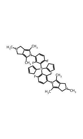 Cc1c2c(c(C)n1-c1ccc(F)[c]([Ti]([C]3=CC=CC3)([C]3=CC=CC3)[c]3c(F)ccc(-n4c(C)c5c(c4C)CN(C)C5)c3F)c1F)CN(C)C2